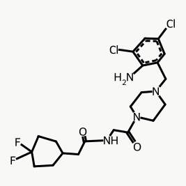 Nc1c(Cl)cc(Cl)cc1CN1CCN(C(=O)CNC(=O)CC2CCC(F)(F)CC2)CC1